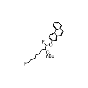 CCCCOC(CCCCCCF)C(F)Oc1ccc2c(ccc3ccccc32)c1